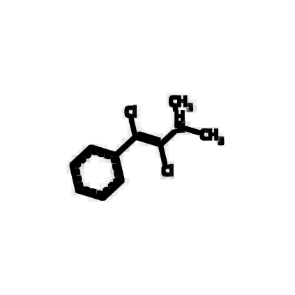 C[SiH](C)C(Cl)=C(Cl)c1ccccc1